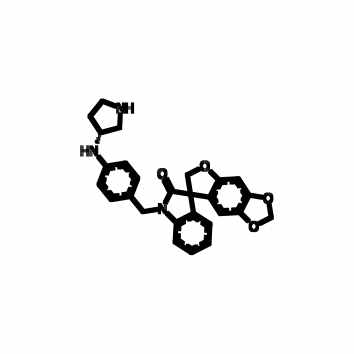 O=C1N(Cc2ccc(N[C@@H]3CCNC3)cc2)c2ccccc2C12COc1cc3c(cc12)OCO3